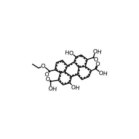 CCOC(=O)c1ccc2c3c(O)cc(C(=O)O)c4c(C(=O)O)ccc(c5c(O)cc(C(=O)O)c1c25)c43